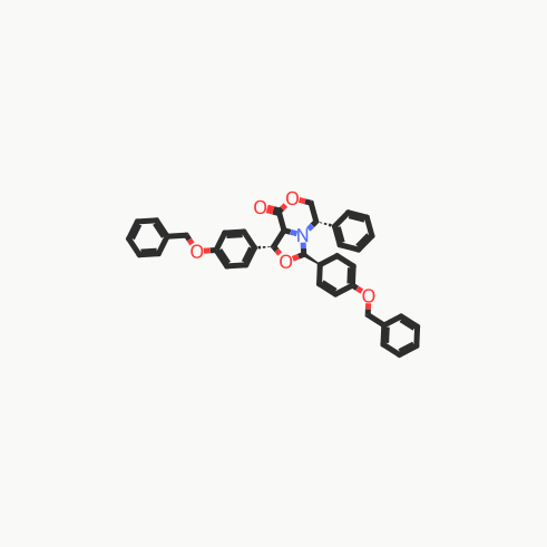 O=C1OC[C@H](c2ccccc2)N2C([C@@H]3C=CC(OCc4ccccc4)=CC3)O[C@H](c3ccc(OCc4ccccc4)cc3)C12